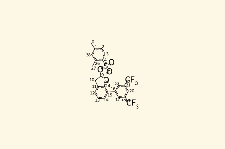 Cc1ccc(S(=O)(=O)OC2Cc3cccc(-c4cc(C(F)(F)F)cc(C(F)(F)F)c4)c3O2)c(C)c1